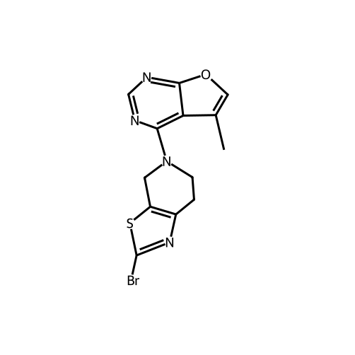 Cc1coc2ncnc(N3CCc4nc(Br)sc4C3)c12